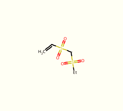 [CH2]CS(=O)(=O)[CH]S(=O)(=O)C=C